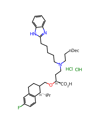 CCCCCCCCCCCCN(CCCCCc1nc2ccccc2[nH]1)CC[C@H](OCC1CCc2cc(F)ccc2[C@H]1C(C)C)C(=O)O.Cl.Cl